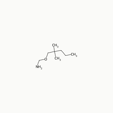 CCCC(C)(C)COCN